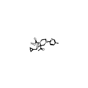 CC(=O)C1(NCC2CC2)CN(c2ccc(C)cn2)CCN1C(=O)O